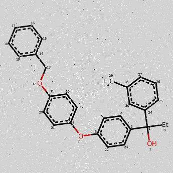 CCC(O)(c1ccc(Oc2ccc(OCc3ccccc3)cc2)cc1)c1cccc(C(F)(F)F)c1